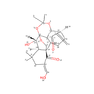 C=C1C(=O)[C@@]23C4OC(C)(C)OC25OC[C@]2(C(=O)/C(=C/O)CC(C)(C)[C@H]2[C@@H]5O)[C@@H]3CC[C@@H]14